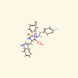 O=C(NCCc1ccc(F)cc1)C(Cc1c[nH]c2ccccc12)NS(=O)(=O)c1ccc(Br)cc1